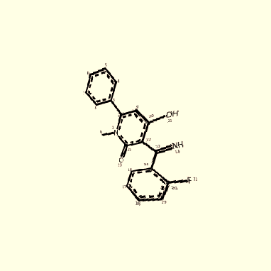 Cn1c(-c2ccccc2)cc(O)c(C(=N)c2ccccc2F)c1=O